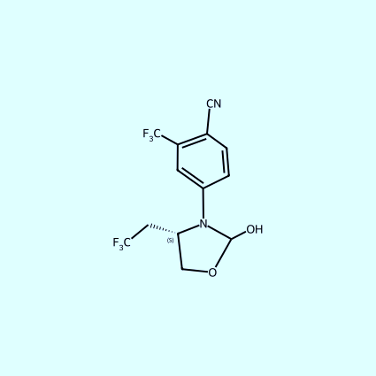 N#Cc1ccc(N2C(O)OC[C@@H]2CC(F)(F)F)cc1C(F)(F)F